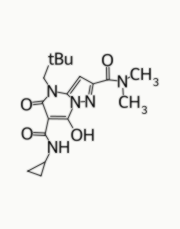 CN(C)C(=O)c1cc2n(CC(C)(C)C)c(=O)c(C(=O)NC3CC3)c(O)n2n1